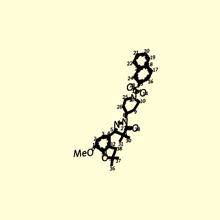 COc1ccc(C2=NN(C3CCN(S(=O)(=O)c4ccc5ccccc5c4)CC3)C(=O)C2(C)C)c2c1OC(C)(C)C2